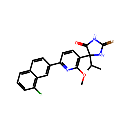 COc1nc(-c2ccc3cccc(F)c3c2)ccc1C1(C(C)C)NC(=S)NC1=O